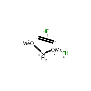 C=C.CO[SiH2]OC.F.F